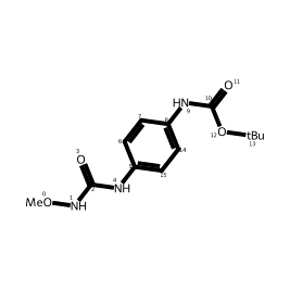 CONC(=O)Nc1ccc(NC(=O)OC(C)(C)C)cc1